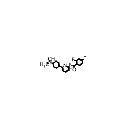 CN(C)C1CC=C(c2cccc(NC(=O)c3ccc(F)cc3F)n2)CC1